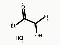 CCC(=O)C(O)CC.Cl